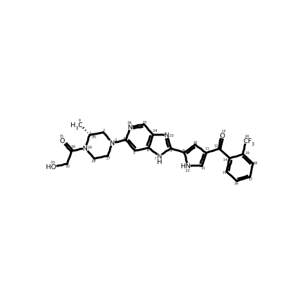 C[C@@H]1CN(c2cc3[nH]c(-c4cc(C(=O)c5ccccc5C(F)(F)F)c[nH]4)nc3cn2)CCN1C(=O)CO